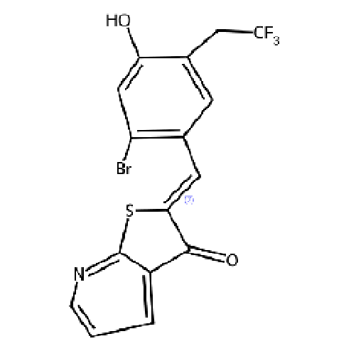 O=C1/C(=C/c2cc(CC(F)(F)F)c(O)cc2Br)Sc2ncccc21